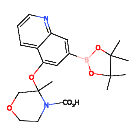 CC1(Oc2cc(B3OC(C)(C)C(C)(C)O3)cc3ncccc23)COCCN1C(=O)O